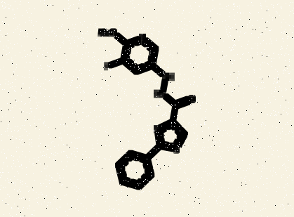 COc1ncc(NNC(=O)c2csc(-c3ccccc3)n2)cc1F